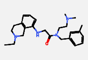 CCN1CCc2cccc(NCC(=O)N(CCN(C)C)Cc3cccc(C)c3)c2C1